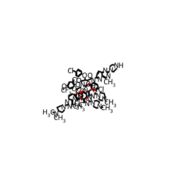 Cc1nc(N2CCNCC2)nc2ccc(NC(=O)C(Oc3ccc(Cl)cc3)C(Oc3ccc(Cl)cc3)C(=O)N(c3ccc4nc(N5CCCN(C)CC5)nc(C)c4n3)C(Oc3ccc(Cl)cc3)(Oc3ccc(OC(F)(F)F)cc3Cl)C(=O)N(c3ccc4nc(N5CCC(N(C)C)CC5)nc(C)c4n3)c3ccc4nc(N5CCN(C)CC5)nc(C)c4n3)nc12